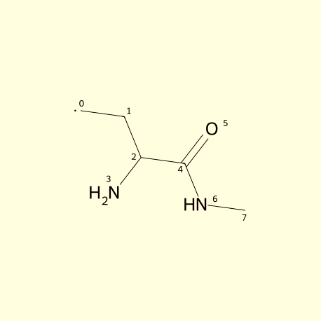 [CH2]CC(N)C(=O)NC